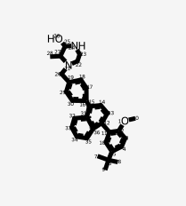 COc1ccc(C(C)(C)C)cc1-c1ccc(-c2ccc(CN3CCNC(O)C3C)cc2)c2ccccc12